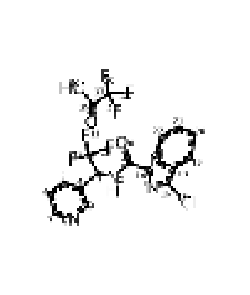 O=C(NC(c1cccnc1)C(F)(F)F)c1nc(Cl)c2ccccn12.O=C(O)C(F)(F)F